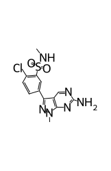 CNS(=O)(=O)c1cc(-c2nn(C)c3nc(N)ncc23)ccc1Cl